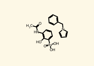 CC(=O)Nc1cccc([As](=O)(O)O)c1O.c1ccc(Cn2cccc2)cc1